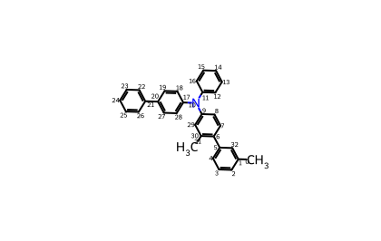 Cc1cccc(-c2ccc(N(c3ccccc3)c3ccc(-c4ccccc4)cc3)cc2C)c1